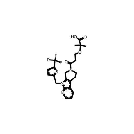 CC(C)(OCCC(=O)N1CCc2c(n(Cc3ccc(C(F)(F)F)s3)c3ncccc23)C1)C(=O)O